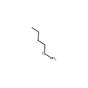 CCC[CH2][Ta][NH2]